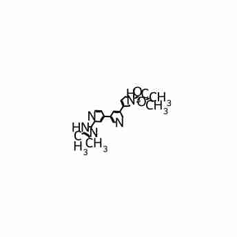 Cc1nc(-c2cc(-c3cncc(C4=CCN(C(=O)OC(C)(C)C)C4)c3)ccn2)[nH]c1C